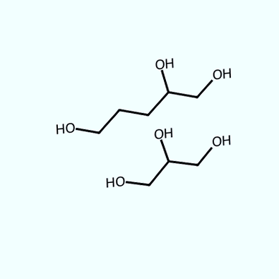 OCC(O)CO.OCCCC(O)CO